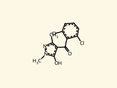 Cc1nn(C)c(O)c1C(=O)c1c(Cl)cccc1Cl